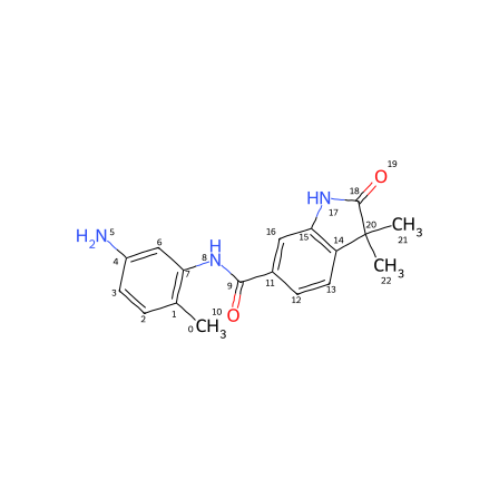 Cc1ccc(N)cc1NC(=O)c1ccc2c(c1)NC(=O)C2(C)C